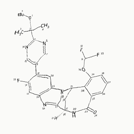 CC(C)(C)OC(C)(C)c1ncc(-c2cc3c(cc2F)nc2n3C3C[C@H]2NC(=O)c2cccc(OC(F)F)c23)cn1